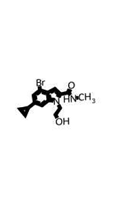 CNC(=O)c1cc2c(Br)cc(C3CC3)cc2n1CCO